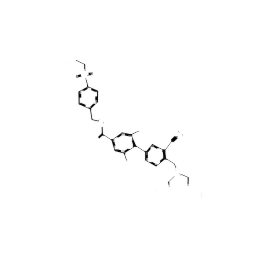 CCN(CC)Cc1ccc(-c2c(Cl)cc(C(=O)NCc3ccc(S(=O)(=O)CC)cc3)cc2Cl)cc1C#N